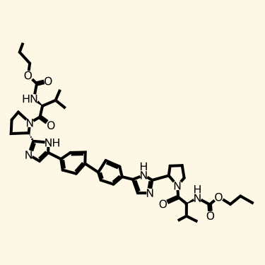 CCCOC(=O)N[C@H](C(=O)N1CCCC1c1ncc(-c2ccc(-c3ccc(-c4cnc([C@@H]5CCCN5C(=O)[C@@H](NC(=O)OCCC)C(C)C)[nH]4)cc3)cc2)[nH]1)C(C)C